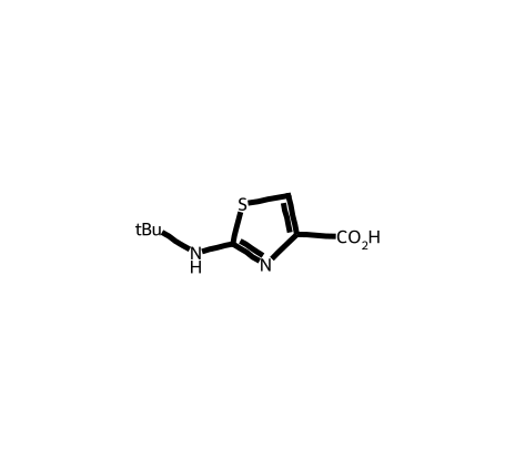 CC(C)(C)Nc1nc(C(=O)O)cs1